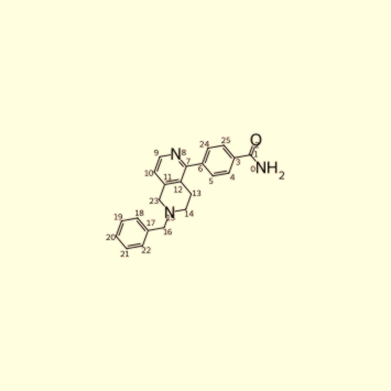 NC(=O)c1ccc(-c2nccc3c2CCN(Cc2ccccc2)C3)cc1